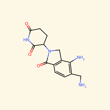 NCc1ccc2c(c1N)CN(C1CCC(=O)NC1=O)C2=O